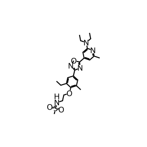 CCc1cc(-c2noc(-c3cc(C)nc(N(CC)CC)c3)n2)cc(C)c1OCCNS(C)(=O)=O